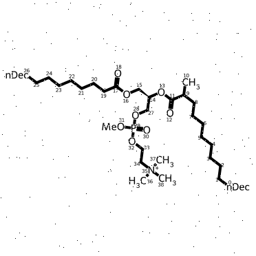 CCCCCCCCCCCCCCCCCCC(C)C(=O)O[C@H](COC(=O)CCCCCCCCCCCCCCCCC)COP(=O)(OC)OCC[N+](C)(C)C